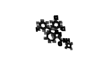 O=C(NC1CCC1)c1nn(-c2ccc(Cl)cc2Cl)c2c1CCCCC2Cc1cccc(F)c1